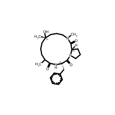 CC1CCC[C@](C)(O)CCCN(C)C(=O)[C@@H]2CCCN2C(=O)[C@H](Cc2ccccc2)NC1=O